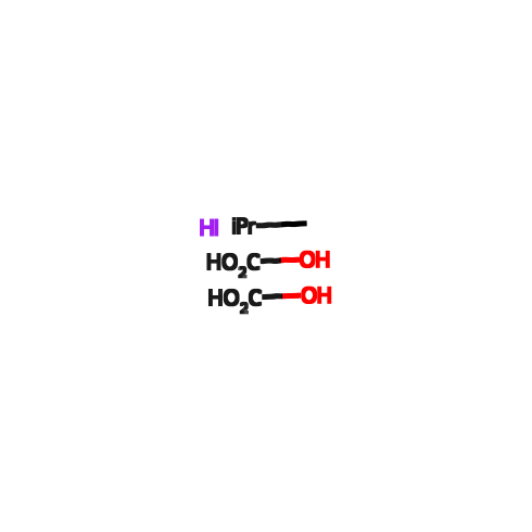 CC(C)C.I.O=C(O)O.O=C(O)O